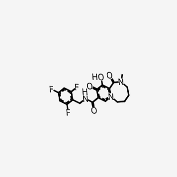 CN1CCCCn2cc(C(=O)NCc3c(F)cc(F)cc3F)c(=O)c(O)c2C1=O